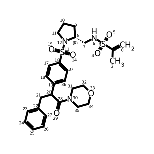 C=C(C)S(=O)(=O)NC[C@H]1CCCN1S(=O)(=O)c1ccc(C(Cc2ccccc2)C(=O)N2CCOCC2)cc1